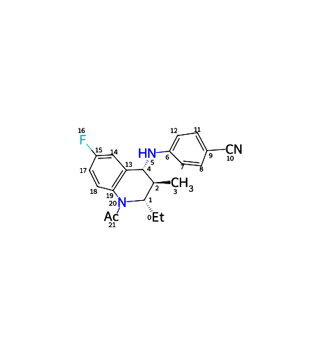 CC[C@H]1[C@H](C)[C@@H](Nc2ccc(C#N)cc2)c2cc(F)ccc2N1C(C)=O